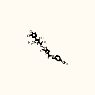 C/C(=N\NC(=O)c1ccc(C(=O)NCC2=CC3C(C)C3C=C2)s1)c1nn(C)c(-c2ccc(Cl)c(Cl)c2)c1O